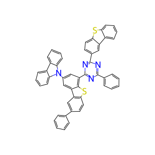 c1ccc(-c2ccc3sc4c(-c5nc(-c6ccccc6)nc(-c6ccc7sc8ccccc8c7c6)n5)cc(-n5c6ccccc6c6ccccc65)cc4c3c2)cc1